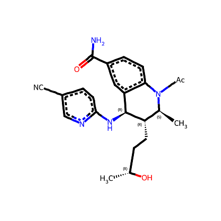 CC(=O)N1c2ccc(C(N)=O)cc2[C@H](Nc2ccc(C#N)cn2)[C@@H](CC[C@@H](C)O)[C@@H]1C